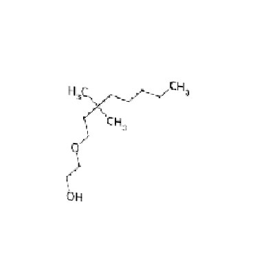 CCCCCC(C)(C)CCOCCO